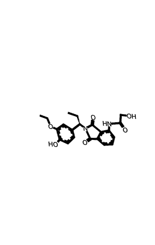 CCOc1cc([C@@H](CC)N2C(=O)c3cccc(NC(=O)CO)c3C2=O)ccc1O